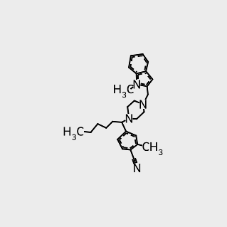 CCCCCC(c1ccc(C#N)c(C)c1)N1CCN(Cc2cc3ccccc3n2C)CC1